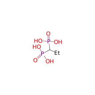 [CH2]CC(P(=O)(O)O)P(=O)(O)O